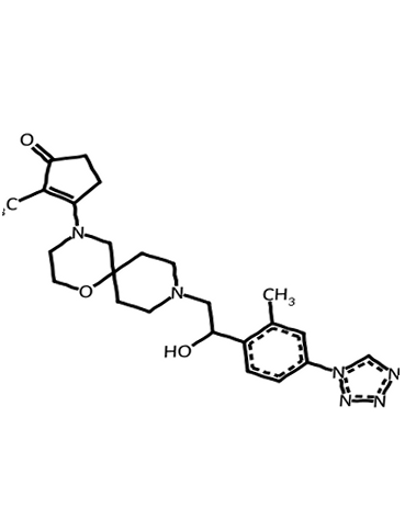 CC1=C(N2CCOC3(CCN(CC(O)c4ccc(-n5cnnn5)cc4C)CC3)C2)CCC1=O